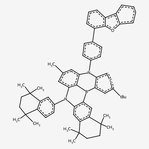 Cc1cc2c3c(c1)N(c1ccc4c(c1)C(C)(C)CCC4(C)C)c1cc4c(cc1B3c1cc(C(C)(C)C)ccc1N2c1ccc(-c2cccc3c2oc2ccccc23)cc1)C(C)(C)CCC4(C)C